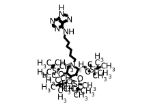 CC(C)(C)[Si](C)(C)OC[C@@H]1C(O[Si](C)(C)C(C)(C)C)C(O[Si](C)(C)C(C)(C)C)C(O[Si](C)(C)C(C)(C)C)CN1CCCCCCNc1ncnc2[nH]cnc12